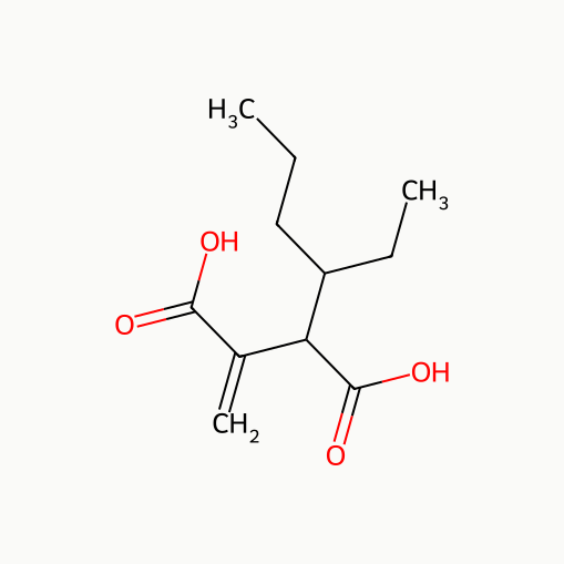 C=C(C(=O)O)C(C(=O)O)C(CC)CCC